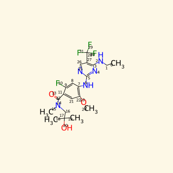 CCNc1nc(Nc2cc(F)c(C(=O)N(C)CC(C)(C)O)cc2OC)ncc1C(F)(F)F